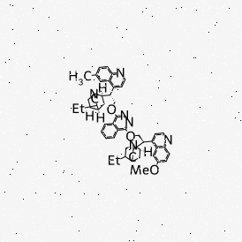 CCC1C[N@@]2CCC1C[C@@H]2[C@@H](COc1nnc(OC[C@@H](c2ccnc3ccc(C)cc23)[C@H]2C[C@H]3CCN2C[C@@H]3CC)c2ccccc12)c1ccnc2ccc(OC)cc12